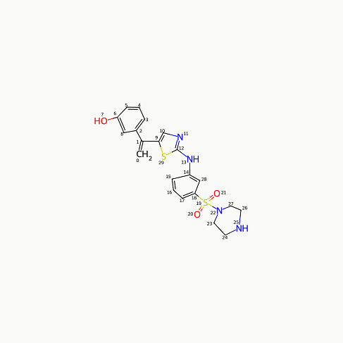 C=C(c1cccc(O)c1)c1cnc(Nc2cccc(S(=O)(=O)N3CCNCC3)c2)s1